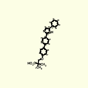 CC(C)(COc1ccc(-c2ccc(-c3ncc(-c4ccccc4)[nH]3)cn2)cc1)C(=O)O